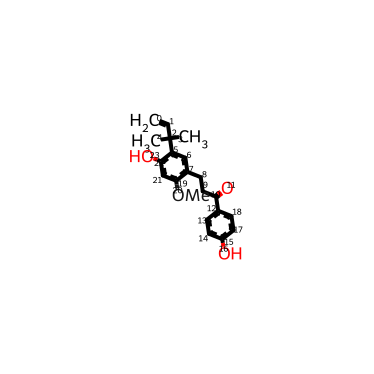 C=CC(C)(C)c1cc(CCC(=O)c2ccc(O)cc2)c(OC)cc1O